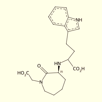 O=C(O)CN1CCCC[C@H](NC(CCc2c[nH]c3ccccc23)C(=O)O)C1=O